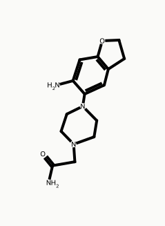 NC(=O)CN1CCN(c2cc3c(cc2N)OCC3)CC1